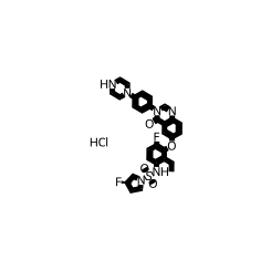 CCc1c(NS(=O)(=O)N2CC[C@@H](F)C2)ccc(F)c1Oc1ccc2ncn(-c3ccc(N4CCNCC4)cc3)c(=O)c2c1.Cl